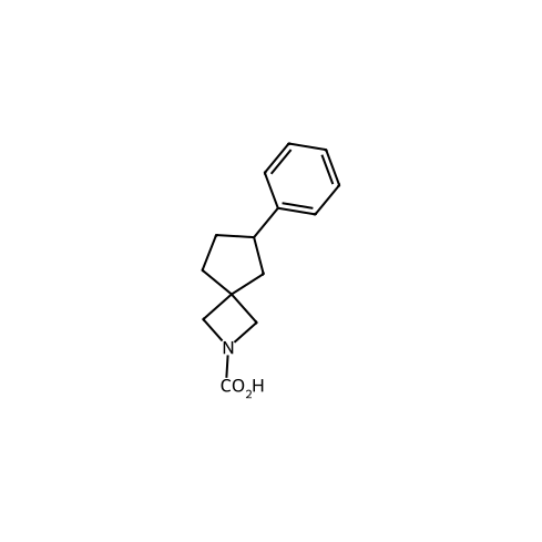 O=C(O)N1CC2(CCC(c3ccccc3)C2)C1